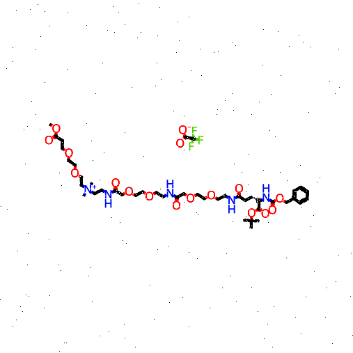 COC(=O)CCOCCOCC[N+](C)(C)CCNC(=O)COCCOCCNC(=O)COCCOCCNC(=O)CC[C@H](NC(=O)OCc1ccccc1)C(=O)OC(C)(C)C.O=C([O-])C(F)(F)F